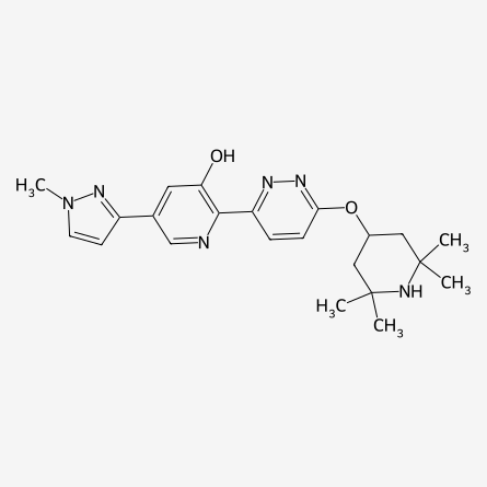 Cn1ccc(-c2cnc(-c3ccc(OC4CC(C)(C)NC(C)(C)C4)nn3)c(O)c2)n1